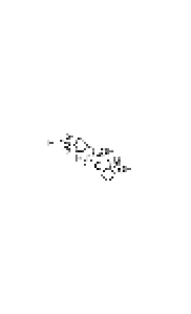 CS(=O)(=O)c1ccc(C[C@@H](N)[C@H](O)C(=O)NC2(C(=O)O)CCCCC2)cc1